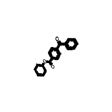 O=C(OC1CCCCC1)c1ccc(C(=O)c2ccccc2)cc1